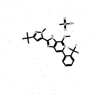 COc1nc(-c2ccccc2C(F)(F)F)cc2nc(-c3cc(C(C)(C)C)nn3C)[nH]c12.CS(=O)(=O)O